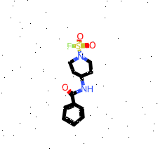 O=C(NC1CCN(S(=O)(=O)F)CC1)c1ccccc1